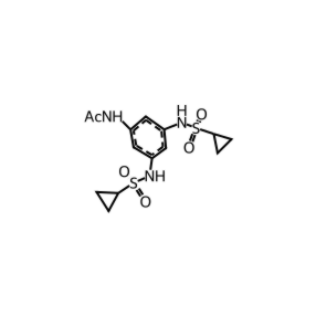 CC(=O)Nc1cc(NS(=O)(=O)C2CC2)cc(NS(=O)(=O)C2CC2)c1